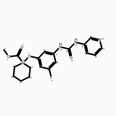 COC(=O)[N+]1(Oc2cc(F)cc(NC(=O)Nc3cccnc3)c2)CCCCC1